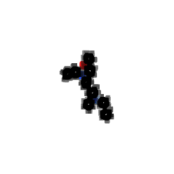 c1ccc(-c2cccc(-n3c4ccccc4c4cc(-c5ccc6c(c5)c5ccc7c8ccccc8oc7c5n6-c5ccc6ccccc6c5)ccc43)c2)cc1